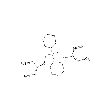 N=NC(=NN)SCC(CSC(N=N)=NN)(C1CCCCC1)C1CCCCC1